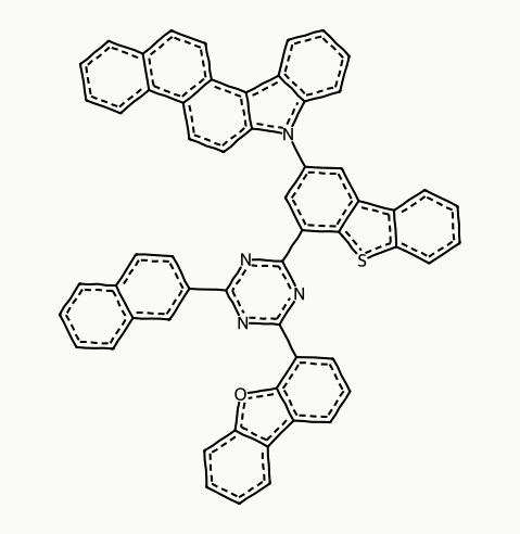 c1ccc2cc(-c3nc(-c4cccc5c4oc4ccccc45)nc(-c4cc(-n5c6ccccc6c6c7ccc8ccccc8c7ccc65)cc5c4sc4ccccc45)n3)ccc2c1